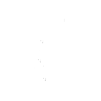 O=S(=O)(c1cccnc1)N1CCC2(CCN(c3ccc(OCC(F)(F)F)cc3)C2)CC1